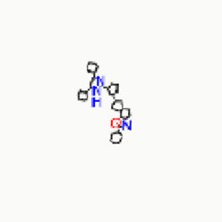 CN1c2ccc3cc(-c4cccc(C5=NC(c6ccccc6)=CC(c6ccccc6)N5)c4)ccc3c2OC1c1ccccc1